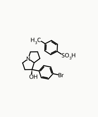 Cc1ccc(S(=O)(=O)O)cc1.O[C@@]1(c2ccc(Br)cc2)CCN2CCCC21